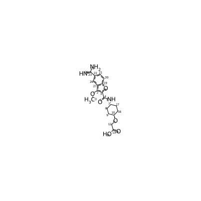 COc1c(C(=O)N[C@H]2CC[C@H](OCC(=O)O)CC2)oc2ccc(C(=N)N)cc12